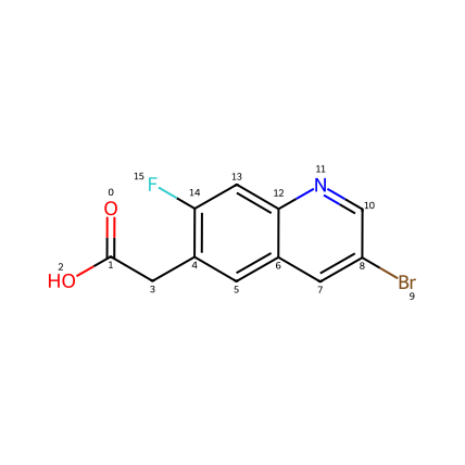 O=C(O)Cc1cc2cc(Br)cnc2cc1F